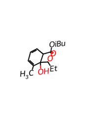 CCC(=O)C1(O)C(C)=CC=CC1C(=O)OCC(C)C